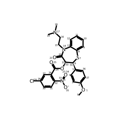 COc1ccc([C@@H]2Sc3ccccc3N(CCN(C)C)C(=O)[C@@H]2OC(=O)c2cc(Cl)ccc2[N+](=O)[O-])cc1